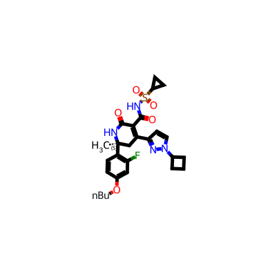 CCCCOc1ccc([C@]2(C)CC(c3ccn(C4CCC4)n3)=C(C(=O)NS(=O)(=O)C3CC3)C(=O)N2)c(F)c1